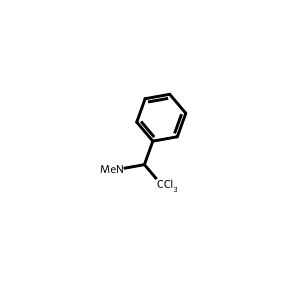 CNC(c1ccccc1)C(Cl)(Cl)Cl